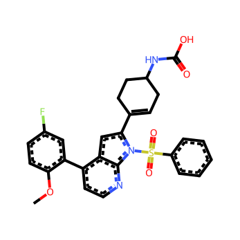 COc1ccc(F)cc1-c1ccnc2c1cc(C1=CCC(NC(=O)O)CC1)n2S(=O)(=O)c1ccccc1